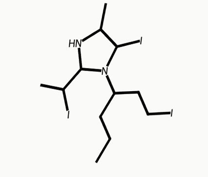 CCCC(CCI)N1C(I)C(C)NC1C(C)I